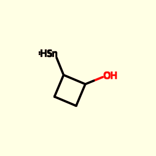 OC1CC[CH]1[SnH]